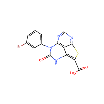 O=C(O)c1sc2ncnc3c2c1NC(=O)N3c1cccc(Br)c1